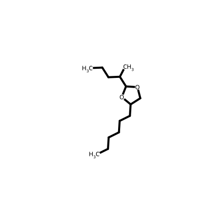 CCCCCCC1COC(C(C)CCC)O1